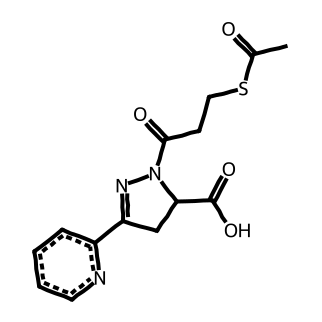 CC(=O)SCCC(=O)N1N=C(c2ccccn2)CC1C(=O)O